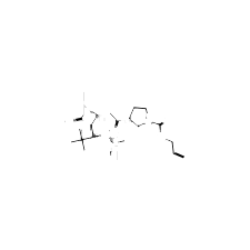 C=CCOC(=O)N1CC[C@H](C(=O)C[C@H]2NC(=O)[C@@H]2[C@@](C)(O[SiH](C)C)C(C)(C)C)C1